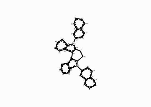 c1ccc2cc(-n3c4c(c5ccccc53)-c3c(n(-c5ccc6ccccc6c5)c5ccccc35)CC4)ccc2c1